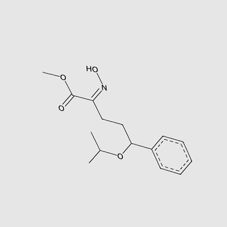 COC(=O)C(CCC(OC(C)C)c1ccccc1)=NO